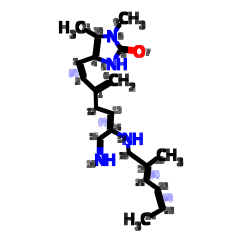 C=C(/C=C\c1[nH]c(=O)n(C)c1C)C/C=C(\C=N)NC/C(C)=C/C=C\C